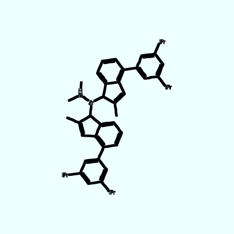 CC1=Cc2c(-c3cc(C(C)C)cc(C(C)C)c3)cccc2[CH]1[Zr]([CH]1C(C)=Cc2c(-c3cc(C(C)C)cc(C(C)C)c3)cccc21)[SiH](C)C